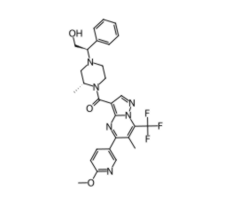 COc1ccc(-c2nc3c(C(=O)N4CCN([C@@H](CO)c5ccccc5)C[C@H]4C)cnn3c(C(F)(F)F)c2C)cn1